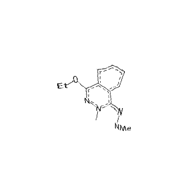 CCOc1nn(C)/c(=N\NC)c2ccccc12